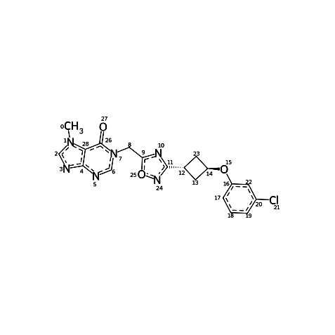 Cn1cnc2ncn(Cc3nc([C@H]4C[C@H](Oc5cccc(Cl)c5)C4)no3)c(=O)c21